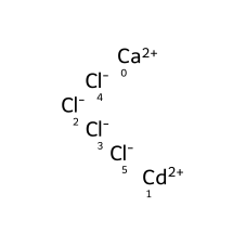 [Ca+2].[Cd+2].[Cl-].[Cl-].[Cl-].[Cl-]